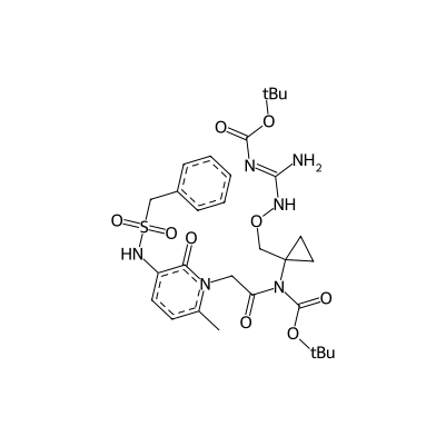 Cc1ccc(NS(=O)(=O)Cc2ccccc2)c(=O)n1CC(=O)N(C(=O)OC(C)(C)C)C1(CONC(N)=NC(=O)OC(C)(C)C)CC1